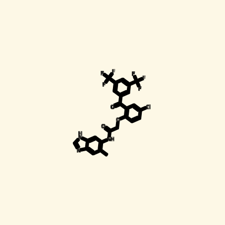 Cc1cc2nc[nH]c2cc1NC(=O)COc1ccc(Cl)cc1C(=O)c1cc(C(F)(F)F)cc(C(F)(F)F)c1